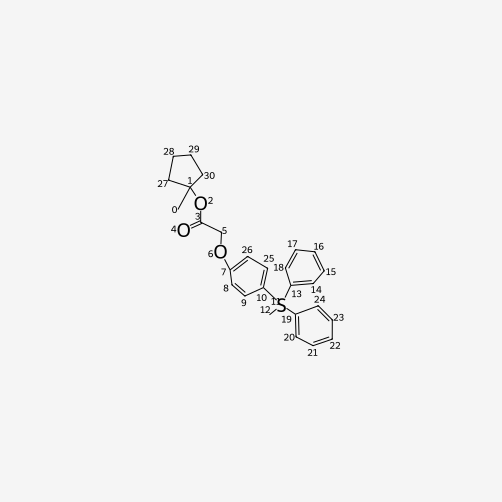 CC1(OC(=O)COc2ccc(S(C)(c3ccccc3)c3ccccc3)cc2)CCCC1